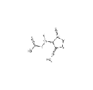 CN(CC(=O)O)N1C(=O)CCC1=O.Cl